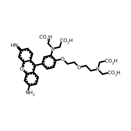 N=c1ccc2c(-c3ccc(OCCOCCN(CC(=O)O)CC(=O)O)c(N(CC(=O)O)CC(=O)O)c3)c3ccc(N)cc3oc-2c1